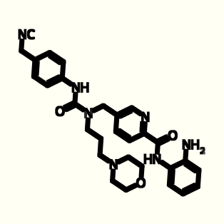 [C-]#[N+]Cc1ccc(NC(=O)N(CCCN2CCOCC2)Cc2ccc(C(=O)Nc3ccccc3N)nc2)cc1